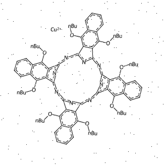 CCCCOc1c2c(c(OCCCC)c3ccccc13)-c1nc-2nc2[n-]c(nc3nc(nc4[n-]c(n1)c1c(OCCCC)c5ccccc5c(OCCCC)c41)-c1c-3c(OCCCC)c3ccccc3c1OCCCC)c1c(OCCCC)c3ccccc3c(OCCCC)c21.[Cu+2]